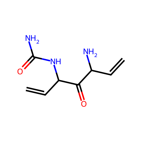 C=CC(N)C(=O)C(C=C)NC(N)=O